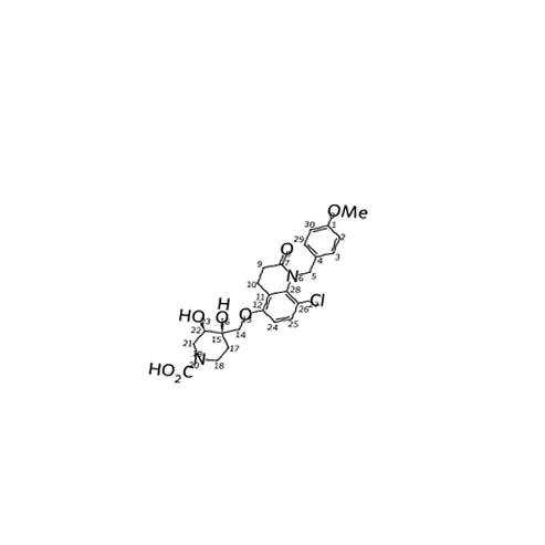 COc1ccc(CN2C(=O)CCc3c(OC[C@]4(O)CCN(C(=O)O)C[C@H]4O)ccc(Cl)c32)cc1